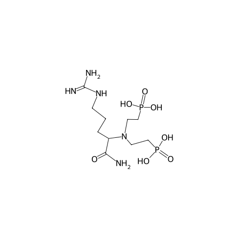 N=C(N)NCCCC(C(N)=O)N(CCP(=O)(O)O)CCP(=O)(O)O